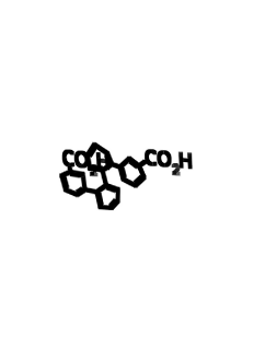 O=C(O)c1cccc(-c2ccccc2-c2ccccc2-c2cccc(C(=O)O)c2)c1